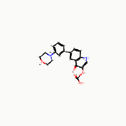 O=C(O)Oc1c[nH]c2ccc(-c3cccc(N4CCOCC4)c3)cc2c1=O